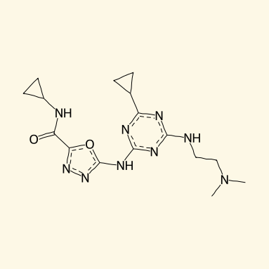 CN(C)CCNc1nc(Nc2nnc(C(=O)NC3CC3)o2)nc(C2CC2)n1